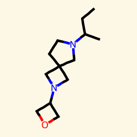 CCC(C)N1CCC2(C1)CN(C1COC1)C2